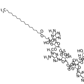 CCCCCCCCCCCCCCCCCC(=O)OCCSP(=O)(O)OC1C(OC)[C@@H](COP(O)(=S)OC2C(O)[C@@H](COP(=O)(O)OC3C(OC)[C@@H](COP(=O)(O)OCCO)O[C@H]3n3cnc4c(N)ncnc43)O[C@H]2n2cnc3c(N)ncnc32)O[C@H]1n1cnc2c(N)ncnc21